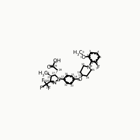 COc1cccc(F)c1N1CCC(Oc2ccc(N3N=C(C(F)(F)F)[C@@H](C)[C@@H]3CC(=O)O)cc2)CC1